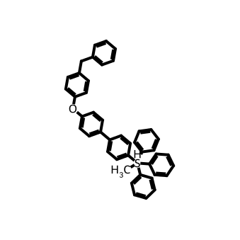 C[SH](c1ccccc1)(c1ccccc1)(c1ccccc1)c1ccc(-c2ccc(Oc3ccc(Cc4ccccc4)cc3)cc2)cc1